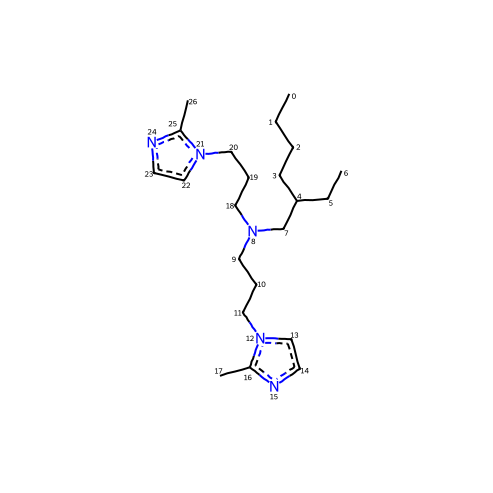 CCCCC(CC)CN(CCCn1ccnc1C)CCCn1ccnc1C